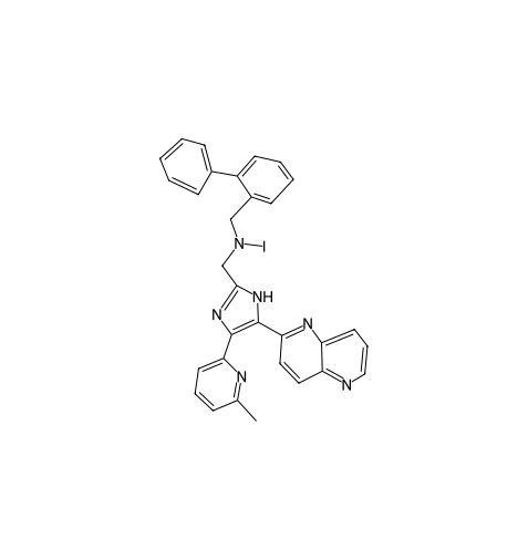 Cc1cccc(-c2nc(CN(I)Cc3ccccc3-c3ccccc3)[nH]c2-c2ccc3ncccc3n2)n1